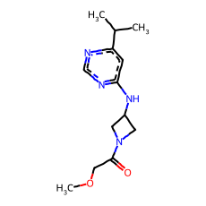 COCC(=O)N1CC(Nc2cc(C(C)C)ncn2)C1